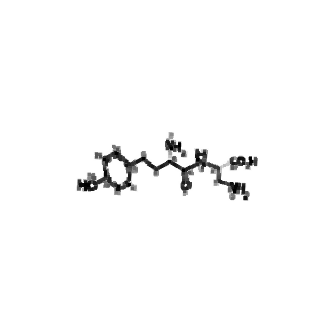 NC[C@H](NC(=O)[C@@H](N)CCc1ccc(O)cc1)C(=O)O